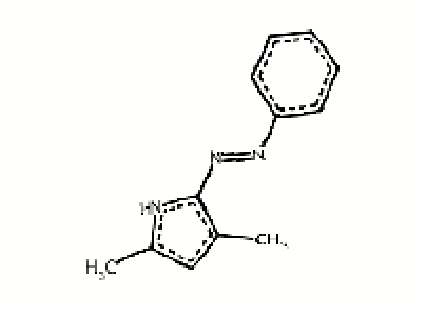 Cc1cc(C)c(N=Nc2ccccc2)[nH]1